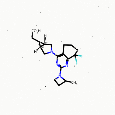 CC1CCN1c1nc(N2C[C@@H]3C(CC(=O)O)[C@@H]3C2)c2c(n1)C(F)(F)CCC2